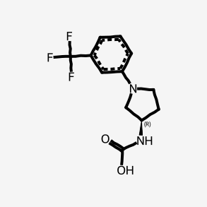 O=C(O)N[C@@H]1CCN(c2cccc(C(F)(F)F)c2)C1